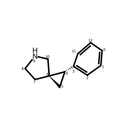 c1ccc([C@@H]2C[C@]23CCNC3)cc1